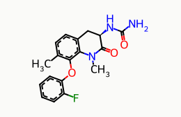 Cc1ccc2c(c1Oc1ccccc1F)N(C)C(=O)[C@H](NC(N)=O)C2